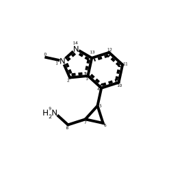 Cn1cc2c(C3CC3CN)cccc2n1